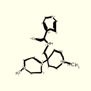 CN1CCN(C2(CNC(=O)c3ccncc3)CCN(C)CC2)CC1